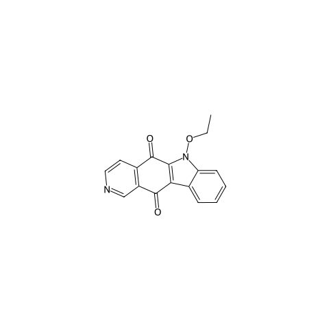 CCOn1c2c(c3ccccc31)C(=O)c1cnccc1C2=O